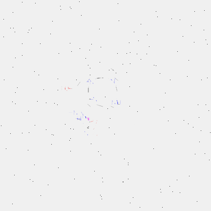 C=CC1=C(C)c2nc1cc1[nH]c(cc3nc(cc4cc(C)c([nH]4)c2CC)C=C3C)c(C=C)c1C.CCCCCCCCCCC(C)OC(=O)[C@@](Cc1c[nH]cn1)(C(N)=[18O])N(C)CC.[C]=O.[Fe]